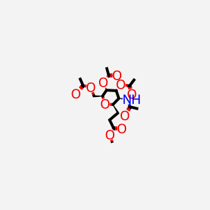 COC(=O)CC[C@H]1O[C@@H](COC(C)=O)[C@H](OC(C)=O)[C@@H](OC(C)=O)[C@@H]1NC(C)=O